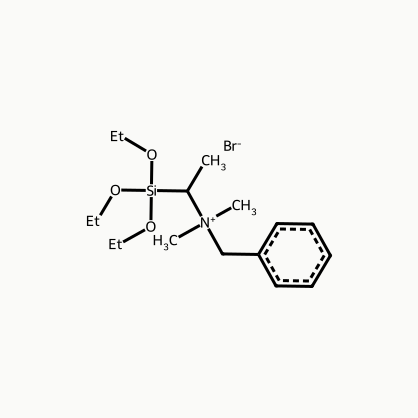 CCO[Si](OCC)(OCC)C(C)[N+](C)(C)Cc1ccccc1.[Br-]